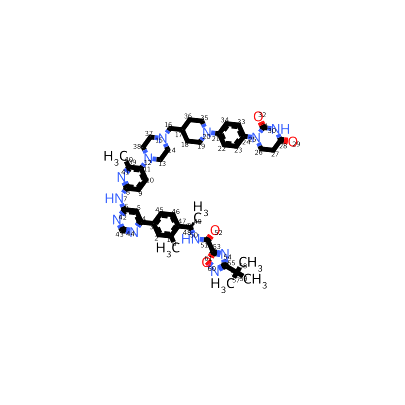 Cc1cc(-c2cc(Nc3ccc(N4CCN(CC5CCN(c6ccc(N7CCC(=O)NC7=O)cc6)CC5)CC4)c(C)n3)ncn2)ccc1[C@@H](C)NC(=O)c1nc(C(C)(C)C)no1